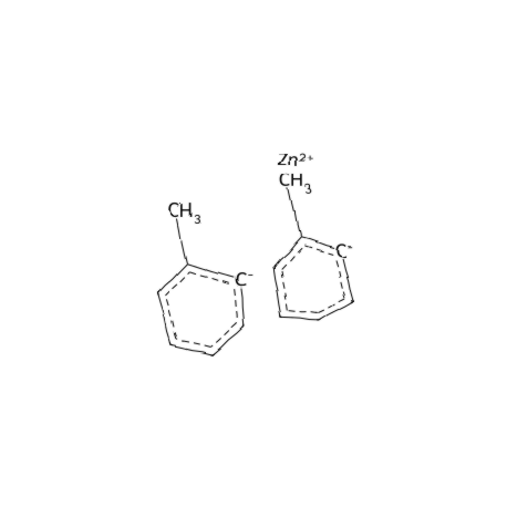 Cc1[c-]cccc1.Cc1[c-]cccc1.[Zn+2]